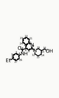 CCc1ccc(NC(=O)c2cc(N3CCCC(CO)C3)nc3ccccc23)cc1